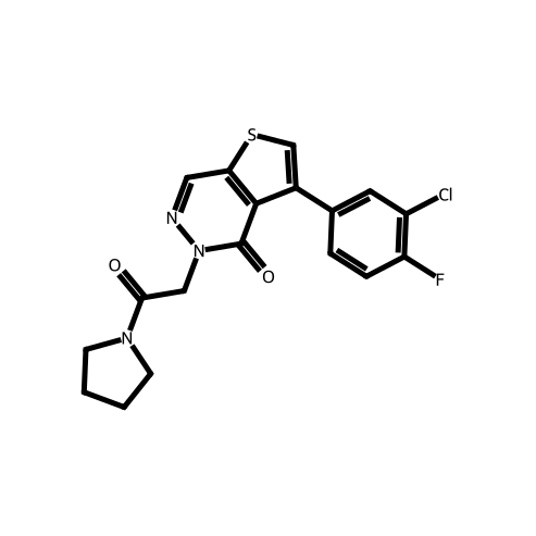 O=C(Cn1ncc2scc(-c3ccc(F)c(Cl)c3)c2c1=O)N1CCCC1